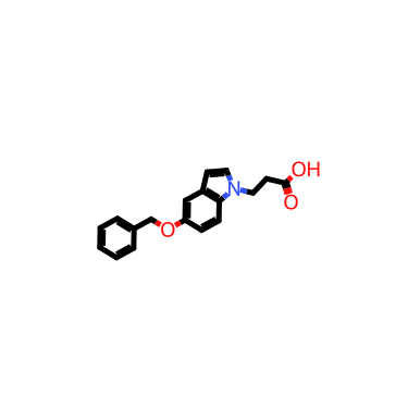 O=C(O)CCn1ccc2cc(OCc3ccccc3)ccc21